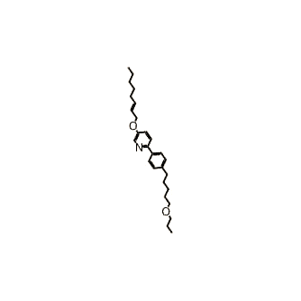 CCCCCC=CCOc1ccc(-c2ccc(CCCCCOCCC)cc2)nc1